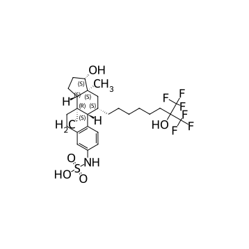 C=C[C@@]12CCc3cc(NS(=O)(=O)O)ccc3[C@H]1[C@@H](CCCCCCC(O)(C(F)(F)F)C(F)(F)F)C[C@@]1(C)[C@H]2CC[C@@H]1O